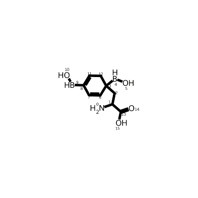 NC(CC1(BO)C=CC(BO)=CC1)C(=O)O